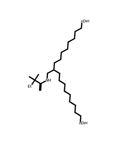 C=C(NCC(CCCCCCCCCCCCCCCCCC)CCCCCCCCCCCCCCCCCCC)C(C)(C)CC